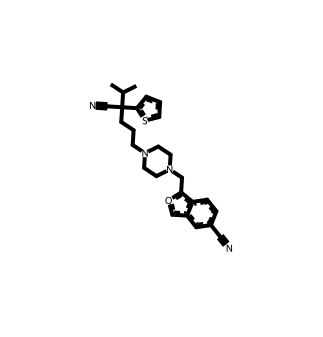 CC(C)C(C#N)(CCCN1CCN(Cc2occ3cc(C#N)ccc23)CC1)c1cccs1